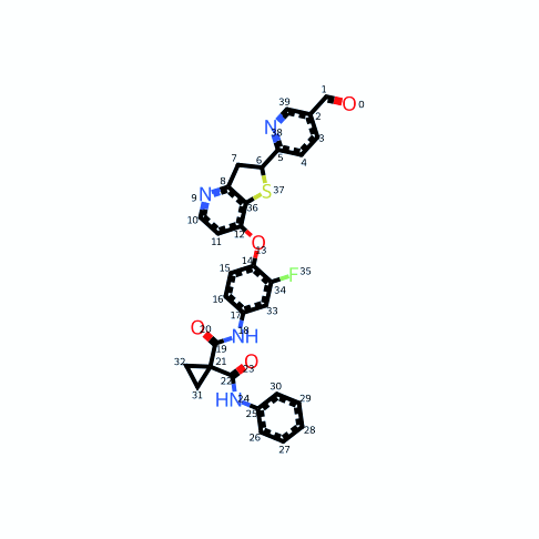 O=Cc1ccc(C2Cc3nccc(Oc4ccc(NC(=O)C5(C(=O)Nc6ccccc6)CC5)cc4F)c3S2)nc1